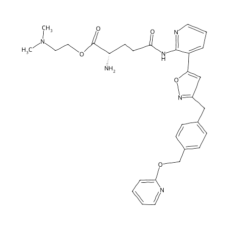 CN(C)CCOC(=O)[C@@H](N)CCC(=O)Nc1ncccc1-c1cc(Cc2ccc(COc3ccccn3)cc2)no1